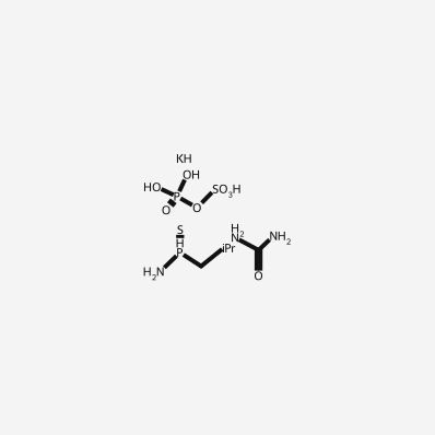 CC(C)C[PH](N)=S.NC(N)=O.O=P(O)(O)OS(=O)(=O)O.[KH]